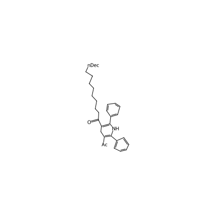 CCCCCCCCCCCCCCCCCCC(=O)C1=C(c2ccccc2)NC(c2ccccc2)=C(C(C)=O)C1